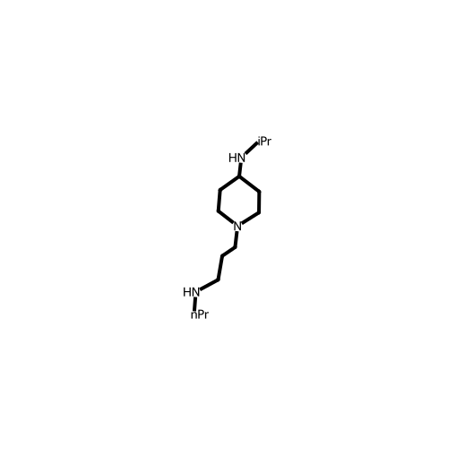 CCCNCCCN1CCC(NC(C)C)CC1